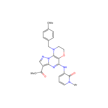 COC(=O)c1cnn2c3c(c(Nc4cccn(C(C)C)c4=O)nc12)OCCN3Cc1ccc(OC)cc1